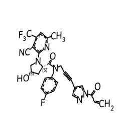 C=CC(=O)n1cc(C#CCN(C(=O)[C@@H]2C[C@H](O)CN2c2nc(C)cc(C(F)(F)F)c2C#N)c2ccc(F)cc2)cn1